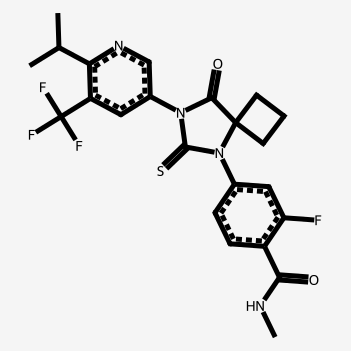 CNC(=O)c1ccc(N2C(=S)N(c3cnc(C(C)C)c(C(F)(F)F)c3)C(=O)C23CCC3)cc1F